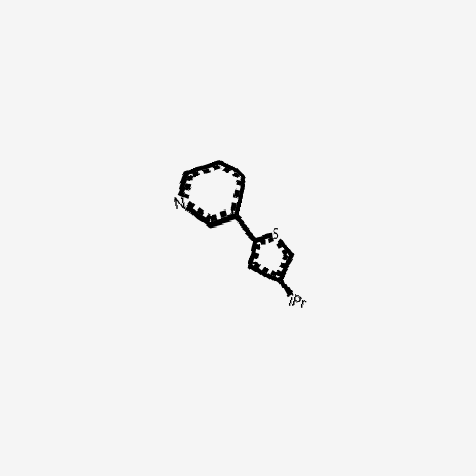 CC(C)c1csc(-c2cccnc2)c1